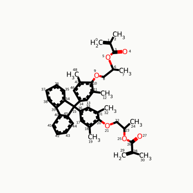 C=C(C)C(=O)OC(C)COc1c(C)cc(C2(c3cc(C)c(OCC(C)OC(=O)C(=C)C)c(C)c3)c3ccccc3-c3ccccc32)cc1C